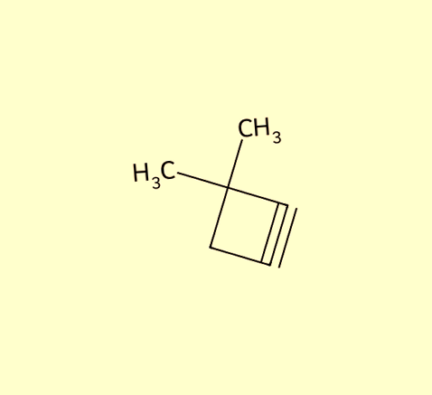 CC1(C)C#CC1